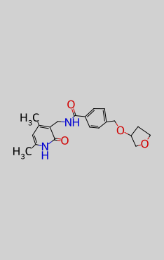 Cc1cc(C)c(CNC(=O)c2ccc(COC3CCOC3)cc2)c(=O)[nH]1